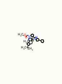 CCOC(=O)CNc1cccc(-c2nc3cc(-c4ccccc4)ccc3n2C[C@@]2(C)CCC[C@]3(C)c4ccc(C(C)C)cc4CC[C@@H]23)c1